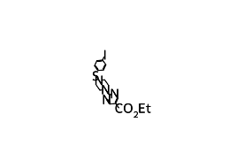 CCOC(=O)c1cnc(N2CCN(Sc3ccc(I)cc3)CC2)nc1